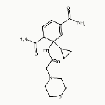 NC(=O)C1=CC(NC(=O)CN2CCOCC2)(C2CC2)C(C(N)=O)C=C1